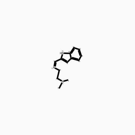 CN(C)CC/N=C\c1cc2ccccc2[nH]1